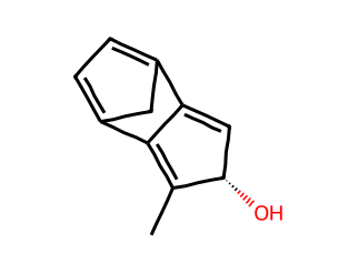 CC1=C2C3=CC=C(C3)C2=C[C@@H]1O